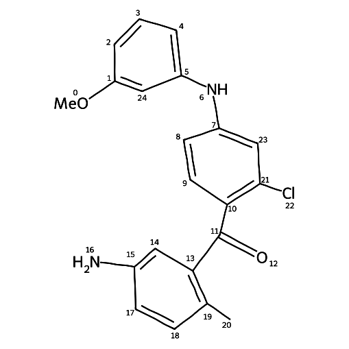 COc1cccc(Nc2ccc(C(=O)c3cc(N)ccc3C)c(Cl)c2)c1